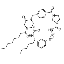 CCCCCCCC(=O)N1CC(=O)N(Cc2ccc(C(=O)N3CC[C@H](C(=O)N[C@H]4C[C@@H]4c4ccccc4)C3)cc2)C[C@@H]1C(=O)NCCCCCC